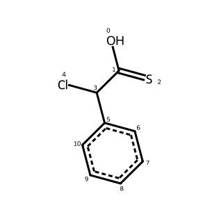 OC(=S)C(Cl)c1ccccc1